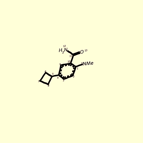 CNc1ccc(C2CCC2)cc1C(N)=O